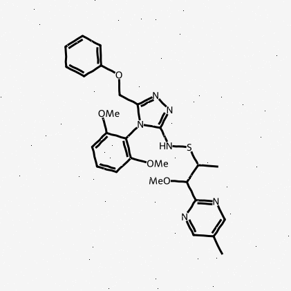 COc1cccc(OC)c1-n1c(COc2ccccc2)nnc1NSC(C)C(OC)c1ncc(C)cn1